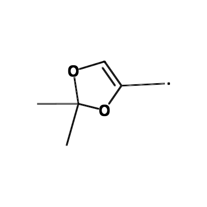 [CH2]C1=COC(C)(C)O1